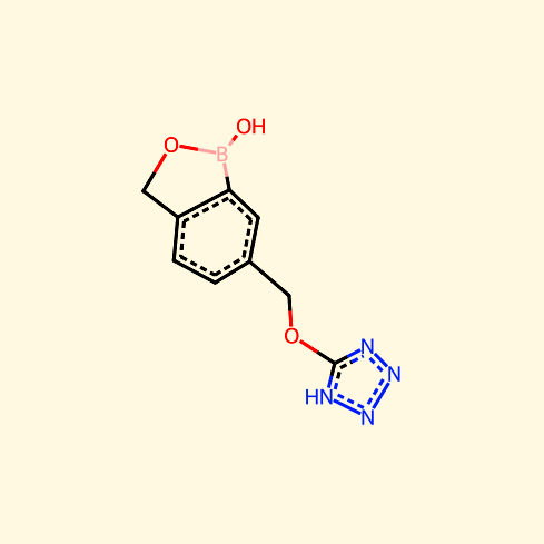 OB1OCc2ccc(COc3nnn[nH]3)cc21